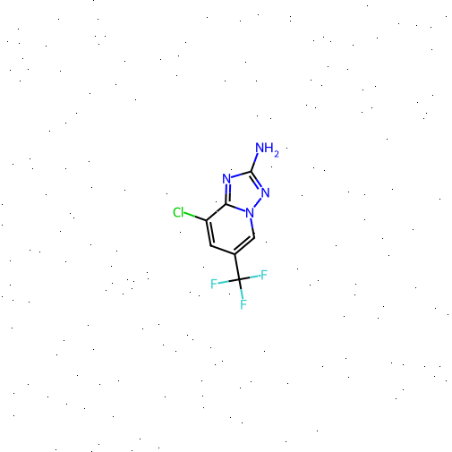 Nc1nc2c(Cl)cc(C(F)(F)F)cn2n1